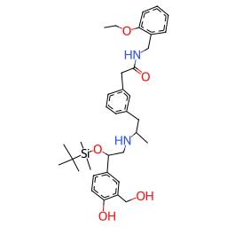 CCOc1ccccc1CNC(=O)Cc1cccc(CC(C)NCC(O[Si](C)(C)C(C)(C)C)c2ccc(O)c(CO)c2)c1